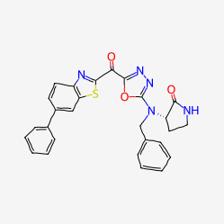 O=C(c1nnc(N(Cc2ccccc2)[C@H]2CCNC2=O)o1)c1nc2ccc(-c3ccccc3)cc2s1